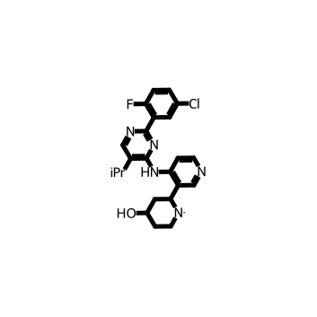 CC(C)c1cnc(-c2cc(Cl)ccc2F)nc1Nc1ccncc1C1CC(O)CC[N]1